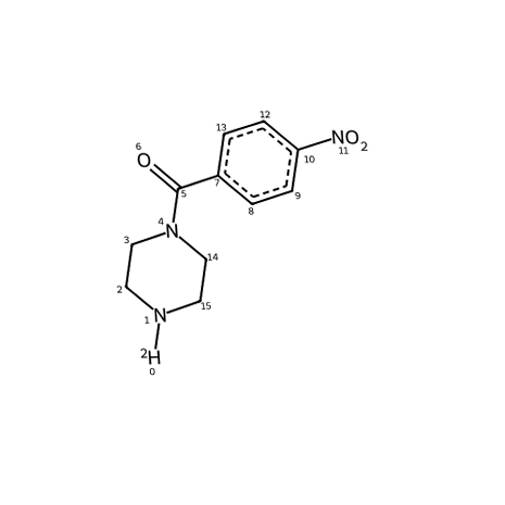 [2H]N1CCN(C(=O)c2ccc([N+](=O)[O-])cc2)CC1